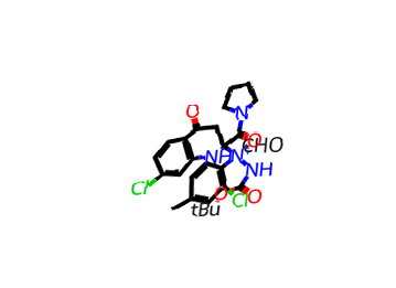 Cc1ccc([N+](C=O)(NC(=O)OC(C)(C)C)C2(C(=O)N3CCCC3)CC(=O)c3ccc(Cl)cc3N2)c(Cl)c1